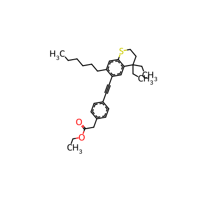 CCCCCCc1cc2c(cc1C#Cc1ccc(CC(=O)OCC)cc1)C(CC)(CC)CCS2